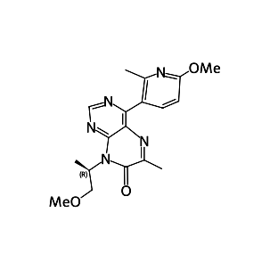 COC[C@@H](C)n1c(=O)c(C)nc2c(-c3ccc(OC)nc3C)ncnc21